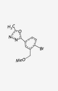 COCc1cc(-c2nnc(C)o2)ccc1Br